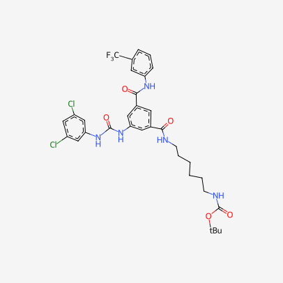 CC(C)(C)OC(=O)NCCCCCCNC(=O)c1cc(NC(=O)Nc2cc(Cl)cc(Cl)c2)cc(C(=O)Nc2cccc(C(F)(F)F)c2)c1